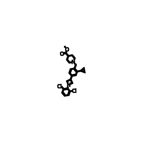 COC(=O)C1CCN(Cc2ccc(C3CN(c4c(Cl)cccc4Cl)C3)cc2C2CC2)CC1